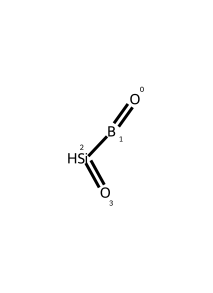 O=B[SiH]=O